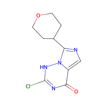 O=c1nc(Cl)[nH]n2c(C3CCOCC3)ncc12